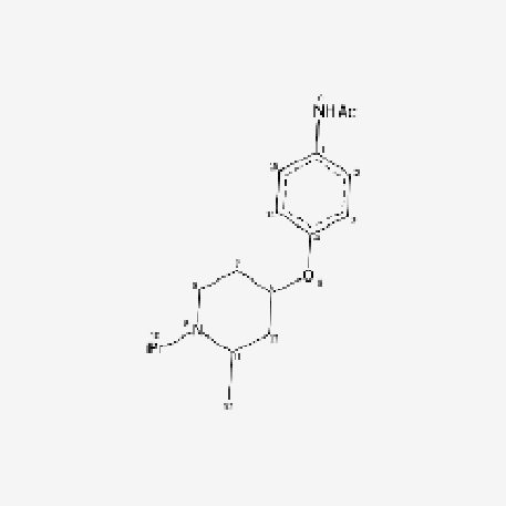 CC(=O)Nc1ccc(OC2CCN(C(C)C)C(I)C2)cc1